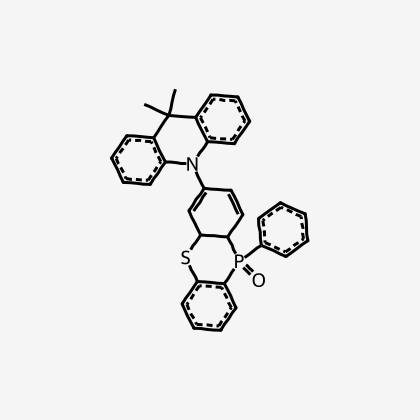 CC1(C)c2ccccc2N(C2=CC3Sc4ccccc4P(=O)(c4ccccc4)C3C=C2)c2ccccc21